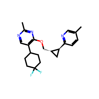 Cc1ccc([C@H]2C[C@@H]2COc2nc(C)ncc2C2CCC(F)(F)CC2)nc1